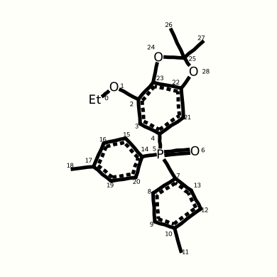 CCOc1cc(P(=O)(c2ccc(C)cc2)c2ccc(C)cc2)cc2c1OC(C)(C)O2